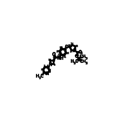 Cc1ccc(N2CC(C(=O)Nc3ccc(OC4CCN(C(=O)OC(C)(C)C)C4)cc3)C2)nn1